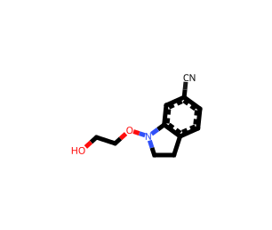 N#Cc1ccc2c(c1)N(OCCO)CC2